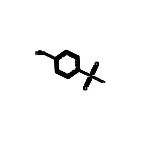 [CH2]S(=O)(=O)c1ccc(CCCC)cc1